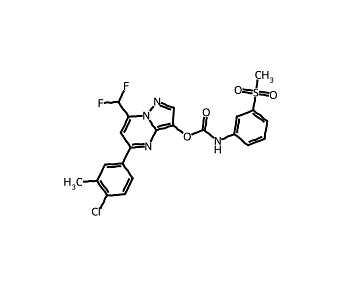 Cc1cc(-c2cc(C(F)F)n3ncc(OC(=O)Nc4cccc(S(C)(=O)=O)c4)c3n2)ccc1Cl